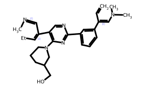 C=C/C(=C\N(C)C)c1cccc(-c2ncc(C(/C=N\C)=C/CC)c(N3CCCC(CO)C3)n2)c1